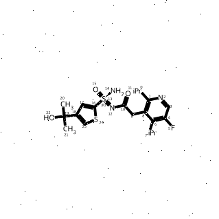 CC(C)c1ncc(F)c(C(C)C)c1CC(=O)N=[S@@](N)(=O)c1cc(C(C)(C)O)cs1